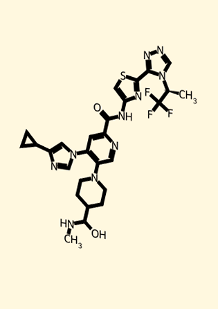 CNC(O)C1CCN(c2cnc(C(=O)Nc3csc(-c4nncn4[C@@H](C)C(F)(F)F)n3)cc2-n2cnc(C3CC3)c2)CC1